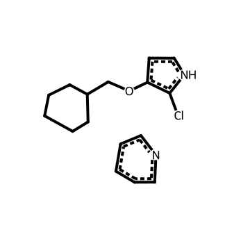 Clc1[nH]ccc1OCC1CCCCC1.c1ccncc1